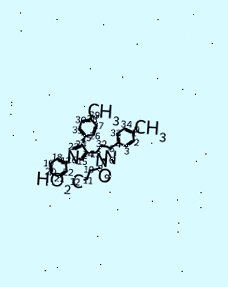 Cc1ccc(C2=NN(C(=O)CCC(=O)O)C(c3cn(-c4ccccc4)cc3-c3ccc(C)cc3)C2)cc1